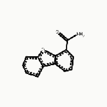 NC(=O)c1cccc2c1oc1ccccc12